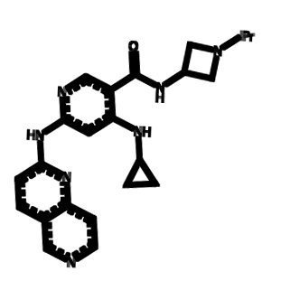 CC(C)N1CC(NC(=O)c2cnc(Nc3ccc4cnccc4n3)cc2NC2CC2)C1